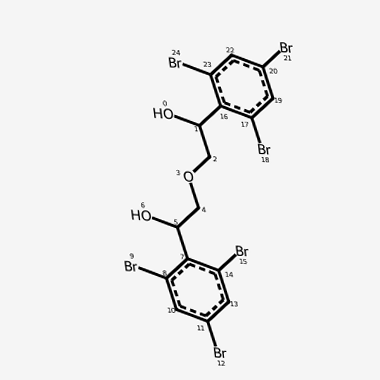 OC(COCC(O)c1c(Br)cc(Br)cc1Br)c1c(Br)cc(Br)cc1Br